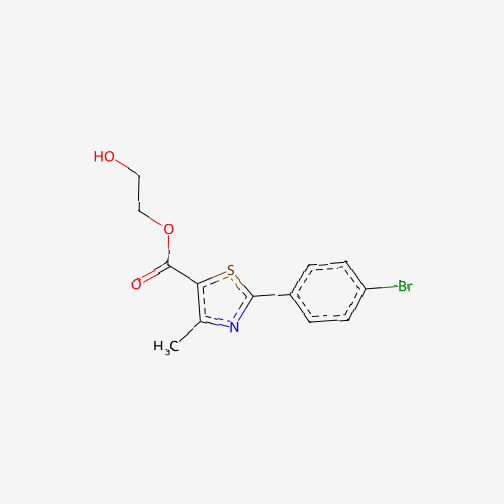 Cc1nc(-c2ccc(Br)cc2)sc1C(=O)OCCO